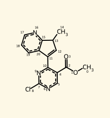 COC(=O)c1cnc(Cl)nc1C1=CC(C)c2ncccc21